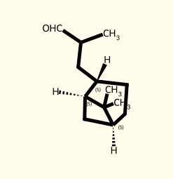 CC(C=O)C[C@@H]1CC[C@H]2C[C@@H]1C2(C)C